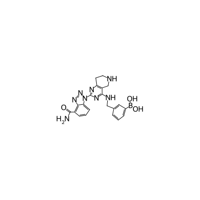 NC(=O)c1cccc2c1nnn2-c1nc2c(c(NCc3cccc(B(O)O)c3)n1)CNCC2